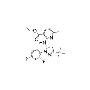 CCOC(=O)c1ccc(C)nc1Nc1cc(C(C)(C)C)nn1-c1ccc(F)cc1F